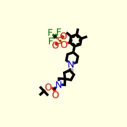 Cc1cc(C2CCN([C@@H]3CCC4(C3)CN(C(=O)OC(C)(C)C)C4)CC2)c(OS(=O)(=O)C(F)(F)F)c(C)c1C